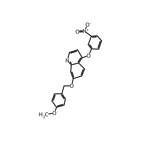 COc1ccc(COc2ccc3c(Oc4cccc([N+](=O)[O-])c4)ccnc3c2)cc1